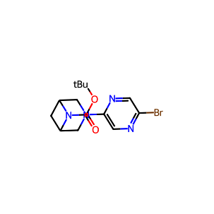 CC(C)(C)OC(=O)N1C2CC1CN(c1cnc(Br)cn1)C2